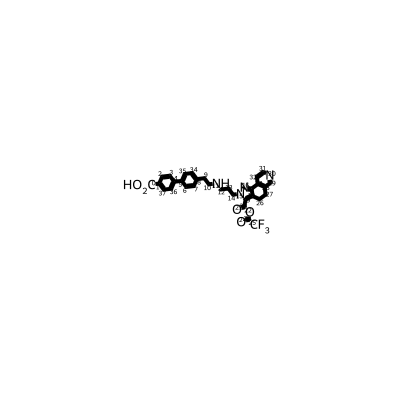 O=C(O)c1ccc(-c2ccc(CCNCCCn3nc4c(c3C(=O)OC(=O)C(F)(F)F)CCc3cnccc3-4)cc2)cc1